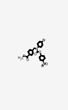 COC(=O)c1ccc(CN(C(=O)Oc2ccc([N+](=O)[O-])cc2)c2ccc(Br)cc2)cc1